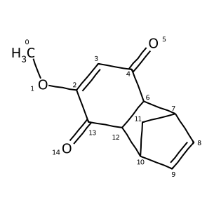 COC1=CC(=O)C2C3C=CC(C3)C2C1=O